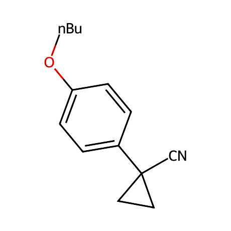 CCCCOc1ccc(C2(C#N)CC2)cc1